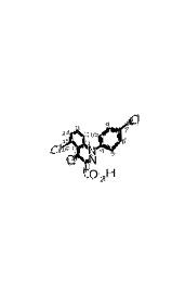 O=C(O)c1nn(-c2ccc(Cl)cc2)c2cccc(Cl)c2c1=O